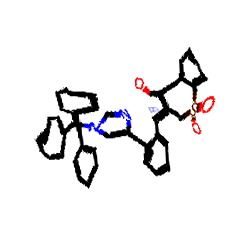 O=C1/C(=C/c2ccccc2-c2cn(C(c3ccccc3)(c3ccccc3)c3ccccc3)cn2)CS(=O)(=O)c2ccccc21